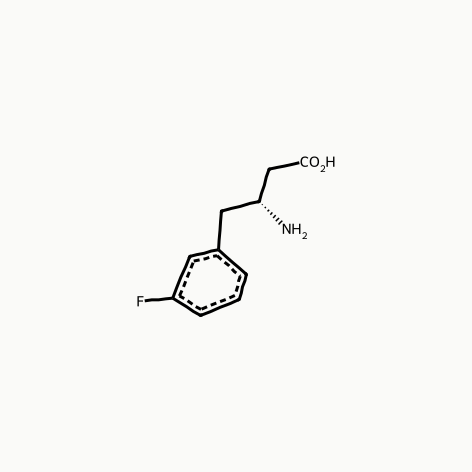 N[C@@H](CC(=O)O)Cc1cccc(F)c1